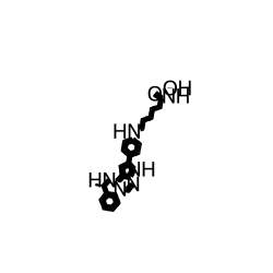 C[C@@H](Nc1ncnc2[nH]c(-c3ccc(NCCCCCC(=O)NO)cc3)cc12)c1ccccc1